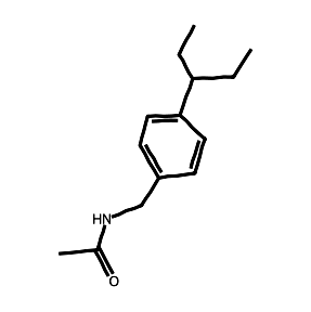 CCC(CC)c1ccc(CNC(C)=O)cc1